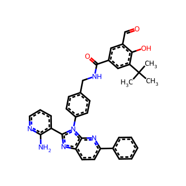 CC(C)(C)c1cc(C(=O)NCc2ccc(-n3c(-c4cccnc4N)nc4ccc(-c5ccccc5)nc43)cc2)cc(C=O)c1O